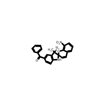 CC1(C)c2cc(C(=O)c3ccccc3)ccc2NC12C=Cc1cccc([N+](=O)[O-])c1O2